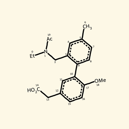 CCN(Cc1cc(C)ccc1-c1cc(CC(=O)O)ccc1OC)C(C)=O